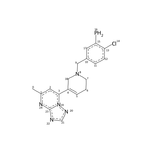 Cc1cc(C2=CCCN(Cc3ccc(Cl)c(P)c3)C2)n2ncnc2n1